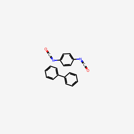 O=C=Nc1ccc(N=C=O)cc1.c1ccc(-c2ccccc2)cc1